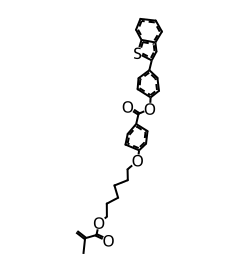 C=C(C)C(=O)OCCCCCCOc1ccc(C(=O)Oc2ccc(-c3cc4ccccc4s3)cc2)cc1